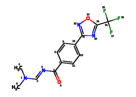 CN(C)C=NC(=O)c1ccc(-c2noc(C(F)(F)F)n2)cc1